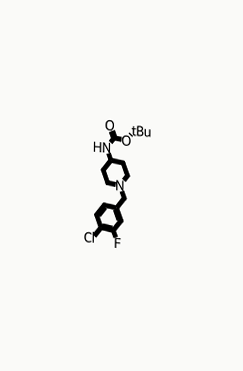 CC(C)(C)OC(=O)NC1CCN(Cc2ccc(Cl)c(F)c2)CC1